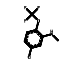 CNc1cc(Cl)ccc1OC(F)(F)F